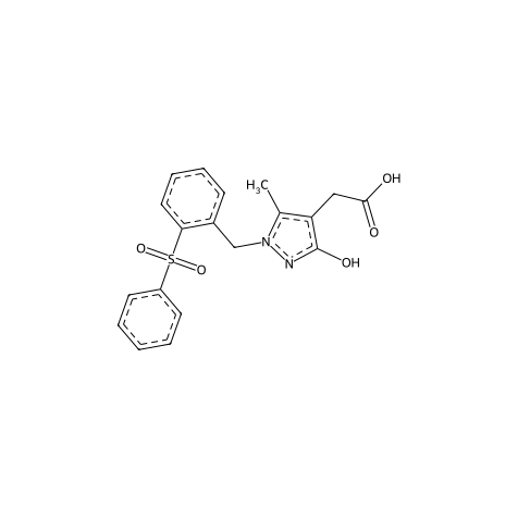 Cc1c(CC(=O)O)c(O)nn1Cc1ccccc1S(=O)(=O)c1ccccc1